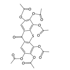 CC(=O)Oc1cc2c(=O)c3cc(OC(C)=O)c(OC(C)=O)c(OC(C)=O)c3sc2c(OC(C)=O)c1OC(C)=O